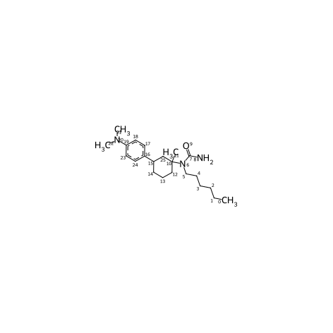 CCCCCCN(C(N)=O)C1(C)CCCC(c2ccc(N(C)C)cc2)C1